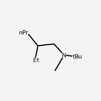 CCCC(CC)CN(C)C(C)(C)C